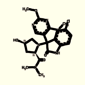 COc1ncc(C2(N3C[C@H](O)C[C@H]3C(=O)N(C)C)C(=O)Nc3ccc(Cl)cc32)c(OC)n1